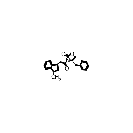 C[C@H]1C[C@H](CC(=O)N2C(=O)OC[C@@H]2Cc2ccccc2)c2ccccc21